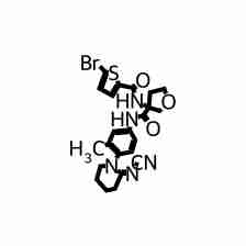 Cc1cc(NC(=O)C2(NC(=O)c3ccc(Br)s3)CCOC2)ccc1N1CCCC/C1=N/C#N